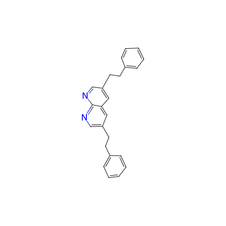 c1ccc(CCc2cnc3ncc(CCc4ccccc4)cc3c2)cc1